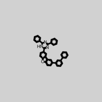 c1ccc(C2=NC(c3ccccc3)NC(c3ccc4oc5ccc(-c6cccc(-c7ccccc7)c6)cc5c4c3)=N2)cc1